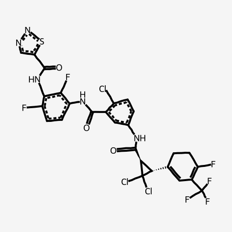 O=C(Nc1c(F)ccc(NC(=O)c2cc(NC(=O)[C@H]3[C@H](C4=CC(C(F)(F)F)=C(F)CC4)C3(Cl)Cl)ccc2Cl)c1F)c1cnns1